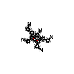 N#Cc1cccc(-c2ccc3c(c2)c2cc(-c4cccc(C#N)c4)ccc2n3-c2cc(C#N)cc(-n3c4ccc(-c5cccc(C#N)c5)cc4c4cc(-c5cccc(C#N)c5)ccc43)c2-c2ccncc2)c1